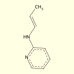 CC=CNc1ccccn1